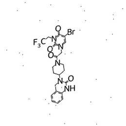 O=C(Cn1cc(Br)c(=O)n(CC(F)(F)F)c1=O)N1CCC(N2Cc3ccccc3NC2=O)CC1